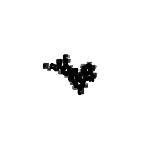 [C-]#[N+]c1cc(S(=O)(=O)Nc2ccc(Cl)cc2-n2nnc3ncccc32)ccc1C(=O)OC